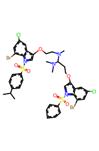 CC(C)c1ccc(S(=O)(=O)n2cc(OCCN(C)C(CCOc3cn(S(=O)(=O)c4ccccc4)c4c(Br)cc(Cl)cc34)N(C)C)c3cc(Cl)cc(Br)c32)cc1